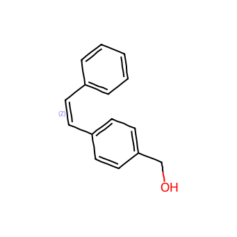 OCc1ccc(/C=C\c2ccccc2)cc1